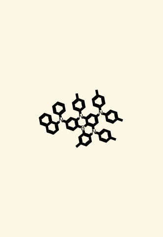 Cc1ccc(N(c2ccc(C)cc2)c2cc3c4c(c2)N(c2ccc(C)cc2)c2cc(N(c5ccccc5)c5cccc6ccccc56)ccc2B4c2cc(C)ccc2N3c2ccc(C)cc2)cc1